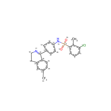 Cc1c(Cl)cccc1S(=O)(=O)Nc1ccc(C2=NCCc3cc(C(F)(F)F)ccc32)cc1